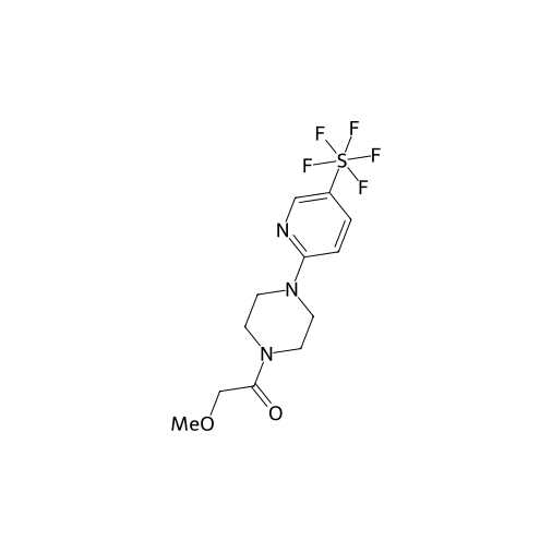 COCC(=O)N1CCN(c2ccc(S(F)(F)(F)(F)F)cn2)CC1